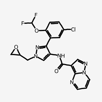 O=C(Nc1cn(CC2CO2)nc1-c1cc(Cl)ccc1OC(F)F)c1cnn2cccnc12